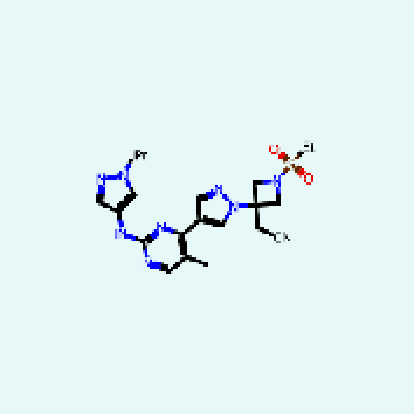 CCS(=O)(=O)N1CC(CC#N)(n2cc(-c3nc(Nc4cnn(C(C)C)c4)ncc3C)cn2)C1